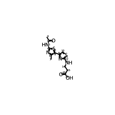 CC(=O)Nc1nc(C)c(-c2csc(NCCC(=O)O)n2)s1